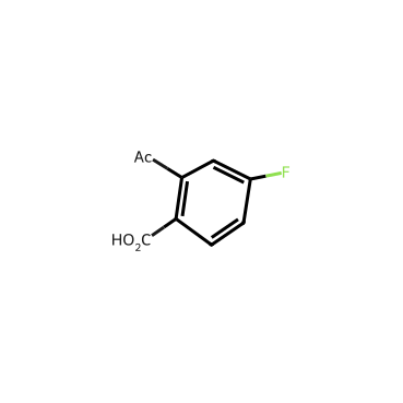 CC(=O)c1cc(F)ccc1C(=O)O